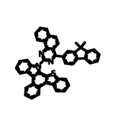 CC1(C)c2ccccc2-c2ccc(-c3nc(-n4c5ccccc5c5c6ccccc6c6c7ccccc7sc6c54)nc4c3ccc3ccccc34)cc21